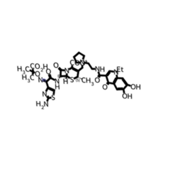 CCn1cc(C(=O)NCC[N+]2(CC3=C(C(=O)[O-])N4C(=O)[C@@H](NC(=O)/C(=N\OC(C)(C)C(=O)O)c5csc(N)n5)[C@H]4S[C@H]3C)CCCC2)c(=O)c2cc(O)c(O)cc21